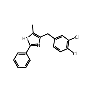 Cc1[nH]c(-c2ccccc2)nc1Cc1ccc(Cl)c(Cl)c1